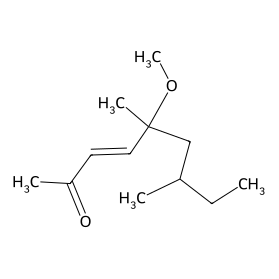 CCC(C)CC(C)(C=CC(C)=O)OC